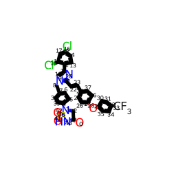 O=C1CN(c2ccc(Cn3cc(-c4ccc(Cl)cc4Cl)nc3/C=C/c3ccc(Oc4ccc(C(F)(F)F)cc4)cc3)cc2)S(=O)(=O)N1